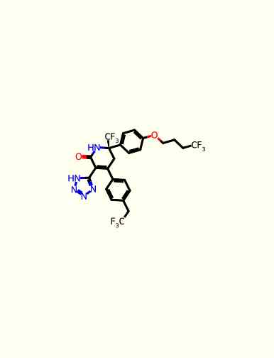 O=C1N[C@@](c2ccc(OCCCC(F)(F)F)cc2)(C(F)(F)F)CC(c2ccc(CC(F)(F)F)cc2)=C1c1nnn[nH]1